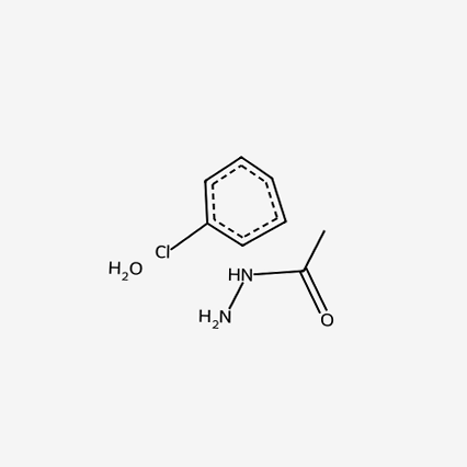 CC(=O)NN.Clc1ccccc1.O